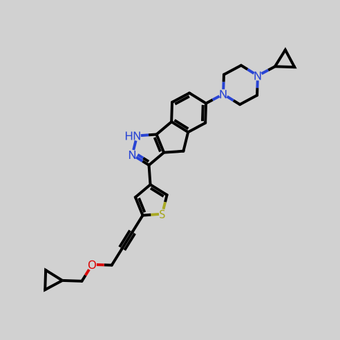 C(#Cc1cc(-c2n[nH]c3c2Cc2cc(N4CCN(C5CC5)CC4)ccc2-3)cs1)COCC1CC1